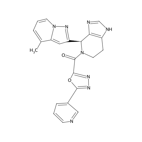 Cc1cccn2nc([C@H]3c4nc[nH]c4CCN3C(=O)c3nnc(-c4cccnc4)o3)cc12